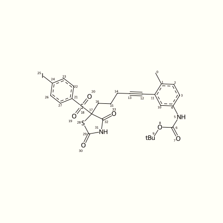 Cc1ccc(NC(=O)OC(C)(C)C)cc1C#CCCCC1(S(=O)(=O)c2ccc(I)cc2)SC(=O)NC1=O